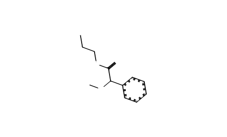 CCCOC(=O)C(OC)c1ccccc1